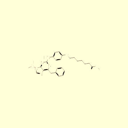 COC(=O)CCCCCCOc1ccc(Nc2nc(Cc3ccccc3)c3ncn(PC)c3n2)cc1